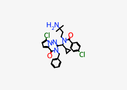 CC(C)(N)CCN(C(=O)c1ccc(Cl)cc1)C(c1nn2c(Cl)ccc2c(=O)n1Cc1ccccc1)C1CC1